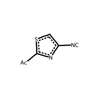 [C-]#[N+]c1csc(C(C)=O)n1